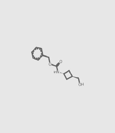 O=C(N[C@H]1C[C@H](CO)C1)OCc1ccccc1